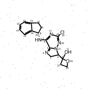 OC1(C2CN=C3C(N[C@H]4CCc5ccccc54)=NC(Cl)=NN32)CCO1